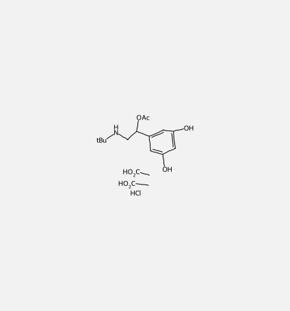 CC(=O)O.CC(=O)O.CC(=O)OC(CNC(C)(C)C)c1cc(O)cc(O)c1.Cl